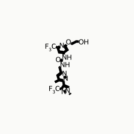 Cc1cc(CNC(=O)Nc2cc(OCCO)nc(C(F)(F)F)c2)nnc1-c1cn(C)nc1C(F)(F)F